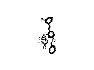 O=C1CN(c2c(OCc3ccccc3)ccc(/C=C/c3cccc(F)c3)c2F)S(=O)(=O)N1